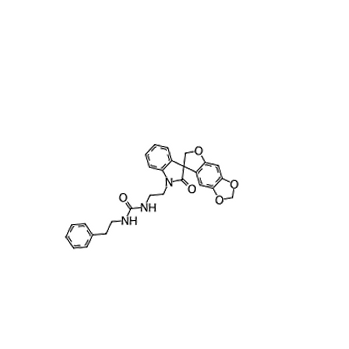 O=C(NCCc1ccccc1)NCCN1C(=O)C2(COc3cc4c(cc32)OCO4)c2ccccc21